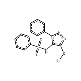 CCSc1onc(-c2ccccc2)c1NS(=O)(=O)c1ccccc1